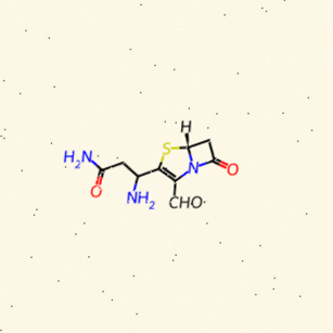 NC(=O)CC(N)C1=C([C]=O)N2C(=O)C[C@H]2S1